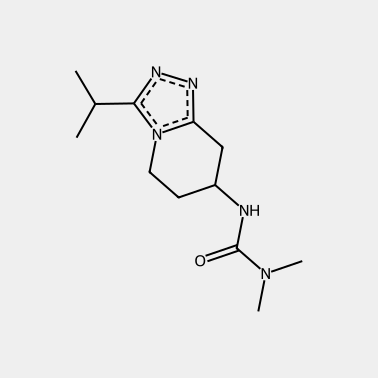 CC(C)c1nnc2n1CCC(NC(=O)N(C)C)C2